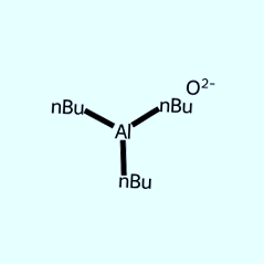 CCC[CH2][Al]([CH2]CCC)[CH2]CCC.[O-2]